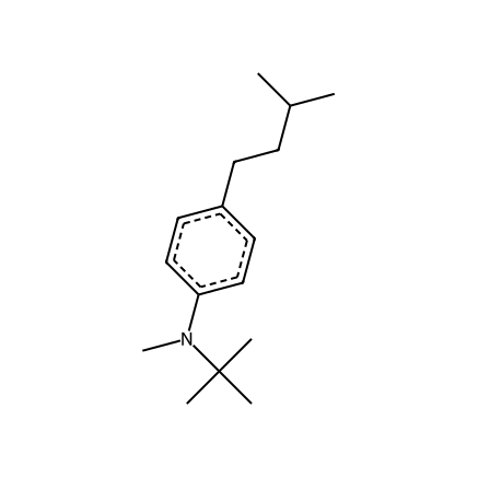 CC(C)CCc1ccc(N(C)C(C)(C)C)cc1